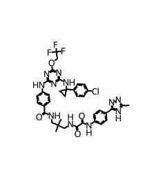 Cc1nnc(-c2ccc(NC(=O)C(=O)NCC(C)(C)CNC(=O)c3ccc(Nc4nc(NC5(c6ccc(Cl)cc6)CC5)nc(OCC(F)(F)F)n4)cc3)cc2)[nH]1